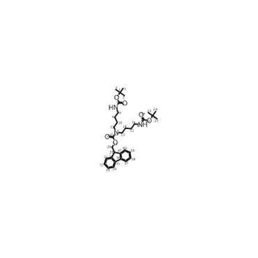 CC(C)(C)OC(=O)NCCCCN(CCCCNC(=O)OC(C)(C)C)C(=O)OCC1c2ccccc2-c2ccccc21